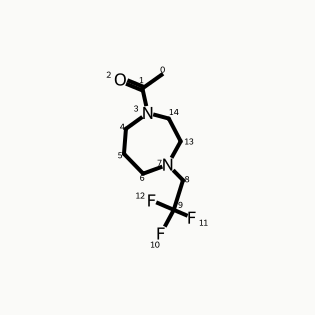 CC(=O)N1CCCN(CC(F)(F)F)CC1